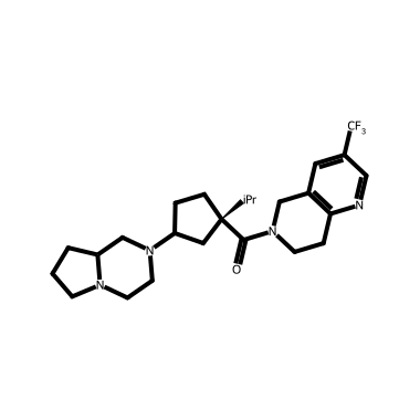 CC(C)[C@]1(C(=O)N2CCc3ncc(C(F)(F)F)cc3C2)CCC(N2CCN3CCCC3C2)C1